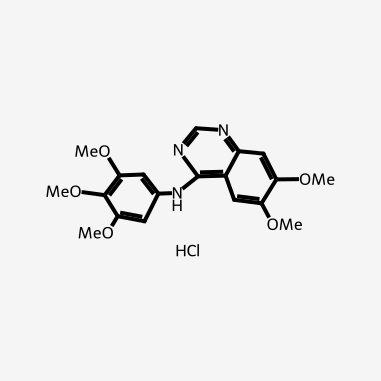 COc1cc2ncnc(Nc3cc(OC)c(OC)c(OC)c3)c2cc1OC.Cl